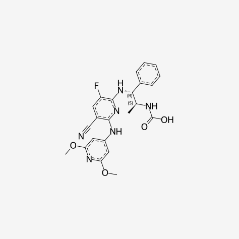 COc1cc(Nc2nc(N[C@H](c3ccccc3)[C@H](C)NC(=O)O)c(F)cc2C#N)cc(OC)n1